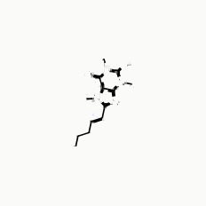 CCC/C=C/c1nc2c(c(=O)n(C)c(=O)n2C)n1C